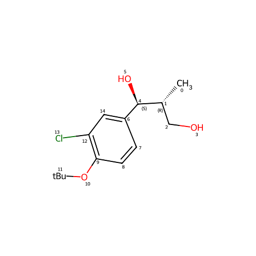 C[C@H](CO)[C@H](O)c1ccc(OC(C)(C)C)c(Cl)c1